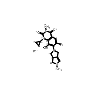 CN1C=C2CN(c3c(F)cc4c(=O)n(N)c(=O)n(C5CC5)c4c3Cl)CC2C1.Cl